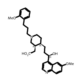 COc1ccc2nccc([C@H](O)CC[C@@H]3CCN(CCCc4ccccc4OC)C[C@@H]3CC(=O)O)c2c1